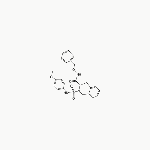 COc1ccc(NS(=O)(=O)N2Cc3ccccc3C[C@@H]2C(=O)NOCc2ccccc2)cc1